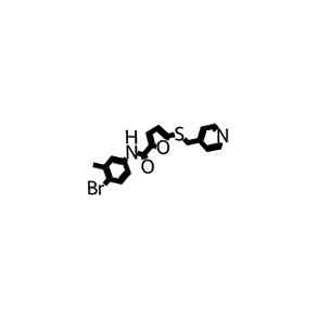 Cc1cc(NC(=O)c2ccc(SCc3ccncc3)o2)ccc1Br